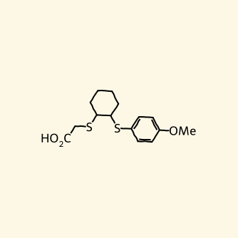 COc1ccc(SC2CCCCC2SCC(=O)O)cc1